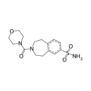 NS(=O)(=O)c1ccc2c(c1)CCN(C(=O)N1CCOCC1)CC2